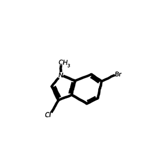 Cn1cc(Cl)c2ccc(Br)cc21